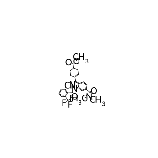 COC(=O)C1CC=C(c2nn(C(=O)c3c(Cl)cccc3C(F)(F)F)c3cc(C(=O)N(C)C)ccc23)CC1